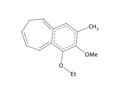 CCOc1c(OC)c(C)cc2c1=CC=CCC=2